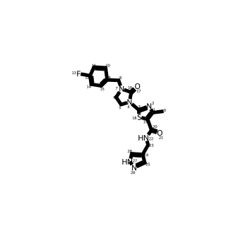 Cc1nc(N2CCN(Cc3ccc(F)cc3)C2=O)sc1C(=O)NCc1cn[nH]c1